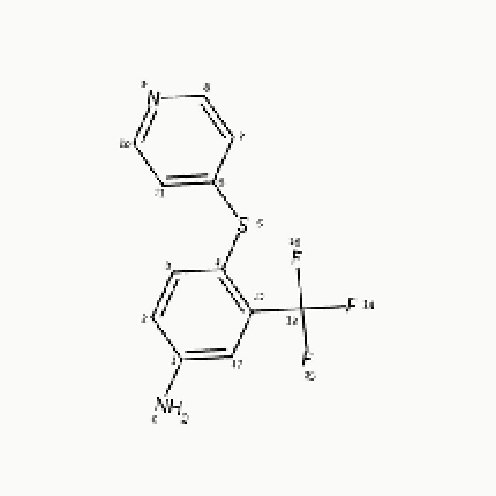 Nc1ccc(Sc2ccncc2)c(C(F)(F)F)c1